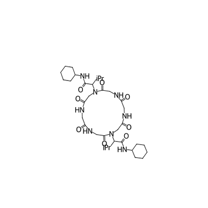 CC(C)C(C(=O)NC1CCCCC1)N1CC(=O)NCC(=O)NCC(=O)N(C(C(=O)NC2CCCCC2)C(C)C)CC(=O)NCC(=O)NCC1=O